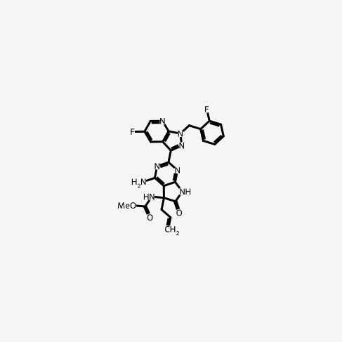 C=CCC1(NC(=O)OC)C(=O)Nc2nc(-c3nn(Cc4ccccc4F)c4ncc(F)cc34)nc(N)c21